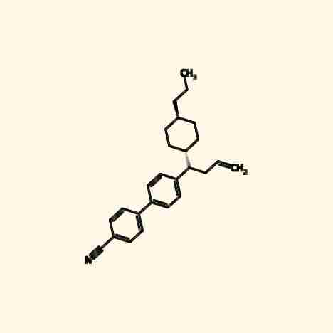 C=CCC(c1ccc(-c2ccc(C#N)cc2)cc1)[C@H]1CC[C@H](CCC)CC1